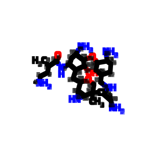 CC(CCN)C(=O)NC1CC(N)C(OC2CC(CNCCN)CCC2N)C(O)C1CC1OCC(C)(C)C2NC12